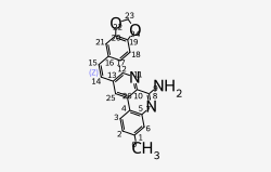 Cc1ccc2c(c1)nc(N)c1ncc(/C=C\c3ccc4c(c3)OCO4)cc12